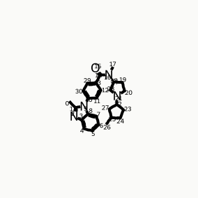 Cc1nc2ccccc2n1-c1ccc(C(=O)N(C)[C@H]2CCN(C3CCC(C)C3)C2)cc1